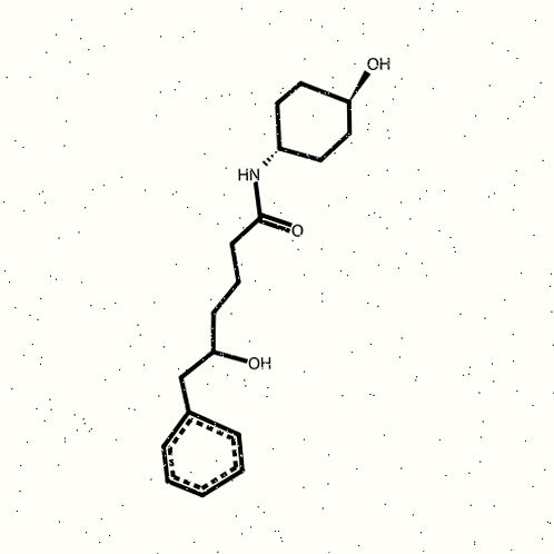 O=C(CCCC(O)Cc1ccccc1)N[C@H]1CC[C@H](O)CC1